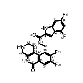 CN(C(=O)c1cc2c(F)cc(F)cc2[nH]1)[C@H]1CNCc2[nH]c(=O)c3cc(F)c(F)cc3c21